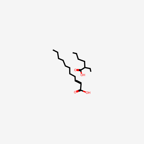 CCCCC(CC)C(=O)O.CCCCCCCCC=CC(=O)O